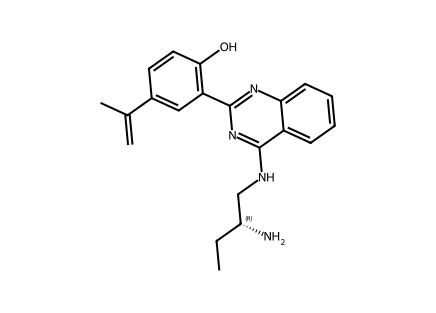 C=C(C)c1ccc(O)c(-c2nc(NC[C@H](N)CC)c3ccccc3n2)c1